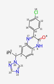 CC(C)C(c1ccc2[nH]c(=O)c(-c3ccc(Cl)cc3)nc2c1)n1cncn1